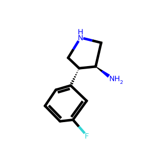 N[C@@H]1CNC[C@H]1c1cccc(F)c1